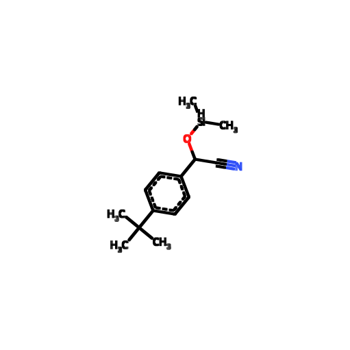 C[SiH](C)OC(C#N)c1ccc(C(C)(C)C)cc1